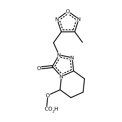 Cc1nonc1Cn1nc2n(c1=O)C(OC(=O)O)CCC2